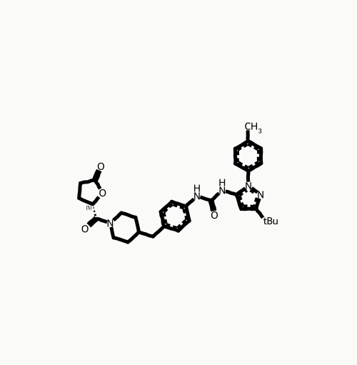 Cc1ccc(-n2nc(C(C)(C)C)cc2NC(=O)Nc2ccc(CC3CCN(C(=O)[C@@H]4CCC(=O)O4)CC3)cc2)cc1